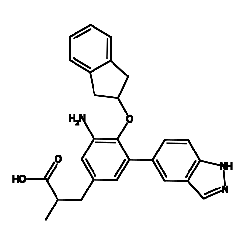 CC(Cc1cc(N)c(OC2Cc3ccccc3C2)c(-c2ccc3[nH]ncc3c2)c1)C(=O)O